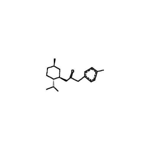 Cc1ccc(CC(=O)C[C@@H]2C[C@H](C)CC[C@H]2C(C)C)cc1